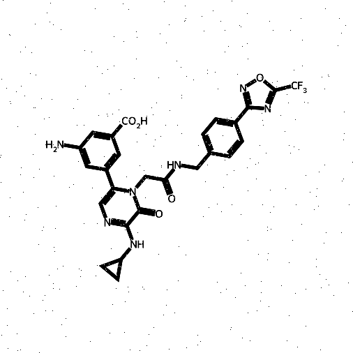 Nc1cc(C(=O)O)cc(-c2cnc(NC3CC3)c(=O)n2CC(=O)NCc2ccc(-c3noc(C(F)(F)F)n3)cc2)c1